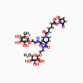 C[C@@H]1O[C@@H](OCCNC(=O)C2CCN(C(=O)CCCCC(=O)ON3C(=O)CCC3=O)C[C@@H]2C(=O)NCCO[C@@H]2O[C@@H](C)[C@@H](O)[C@@H](O)[C@@H]2O)[C@@H](O)[C@H](O)[C@@H]1O